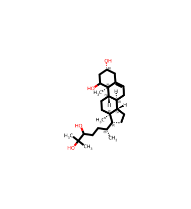 C[C@H](CCC(O)C(C)(C)O)[C@H]1CC[C@H]2[C@@H]3CC=C4C[C@@H](O)CC(O)[C@]4(C)[C@H]3CC[C@]12C